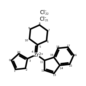 C1=CC[C]([Zr+2](=[C]2CCCCC2)[CH]2C=Cc3ccccc32)=C1.[Cl-].[Cl-]